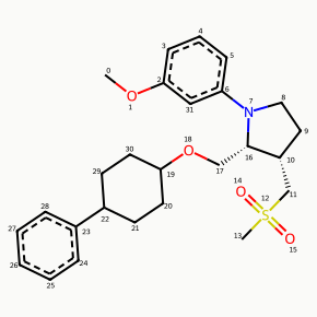 COc1cccc(N2CC[C@H](CS(C)(=O)=O)[C@@H]2COC2CCC(c3ccccc3)CC2)c1